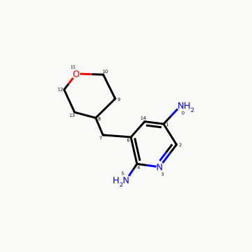 Nc1cnc(N)c(CC2CCOCC2)c1